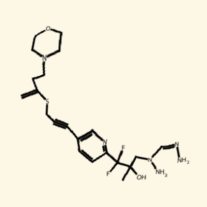 C=C(CCN1CCOCC1)SCC#Cc1ccc(C(F)(F)C(C)(O)CN(N)/C=N\N)nc1